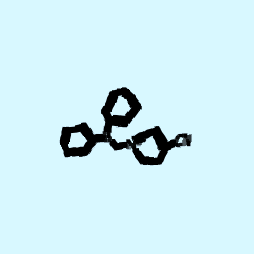 N#Cc1cc[n+](CB(c2ccccc2)c2ccccc2)cc1